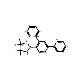 CC1(C)OB(c2ccc(-c3ccccn3)cc2-c2ccccc2)OC1(C)C